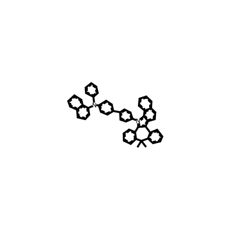 CC1(C)c2ccccc2-c2c(n(-c3ccc(-c4ccc(N(c5ccccc5)c5cccc6ccccc56)cc4)cc3)c3c2ccc2ccccc23)-c2ccccc21